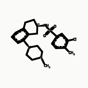 Cc1ccc(S(=O)(=O)N[C@@H]2CCc3cccc(N4CCN(C)CC4)c3C2)cc1Cl